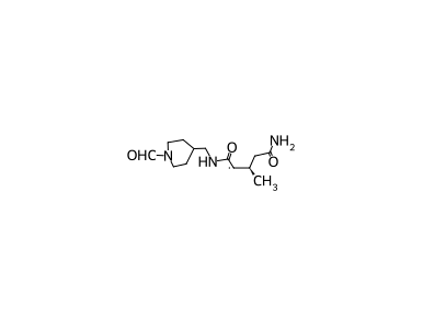 C[C@@H]([CH]C(=O)NCC1CCN(C=O)CC1)CC(N)=O